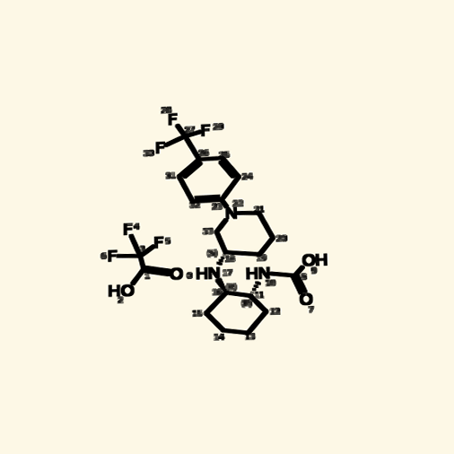 O=C(O)C(F)(F)F.O=C(O)N[C@@H]1CCCC[C@H]1N[C@H]1CCCN(c2ccc(C(F)(F)F)cc2)C1